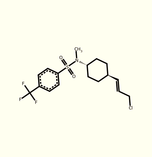 CN([C@H]1CC[C@H](C=CCCl)CC1)S(=O)(=O)c1ccc(C(F)(F)F)cc1